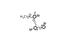 CCOC(=O)Cc1cc(F)c(Br)cc1OCCCc1cc(C#N)cnc1COc1cccc(Br)n1